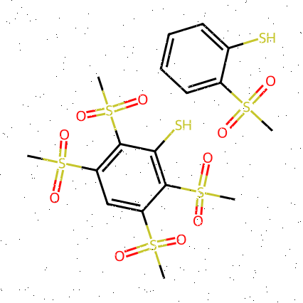 CS(=O)(=O)c1cc(S(C)(=O)=O)c(S(C)(=O)=O)c(S)c1S(C)(=O)=O.CS(=O)(=O)c1ccccc1S